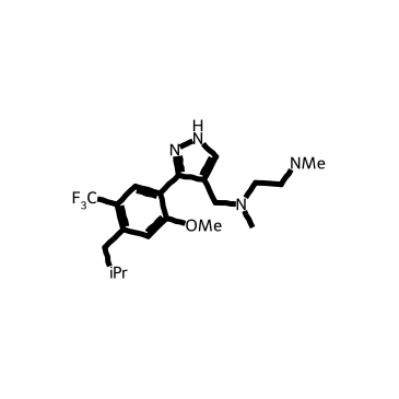 CNCCN(C)Cc1c[nH]nc1-c1cc(C(F)(F)F)c(CC(C)C)cc1OC